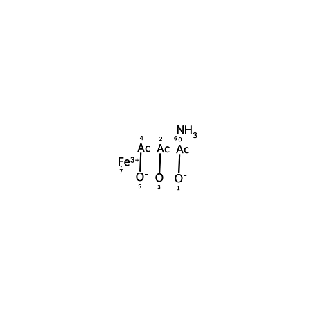 CC(=O)[O-].CC(=O)[O-].CC(=O)[O-].N.[Fe+3]